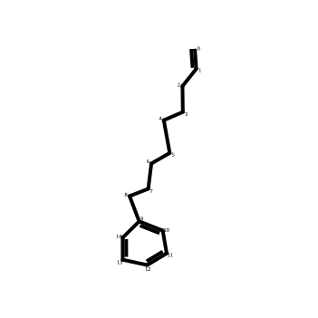 C=CCCCCCCCc1ccccc1